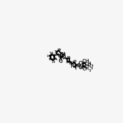 CC1(C)OB(c2cnn(C3CC(n4nc5n(c4=O)[C@H](c4ccccc4)CC5)C3)c2)OC1(C)C